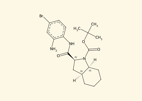 CC(C)(C)OC(=O)N1[C@H](C(=O)Nc2ccc(Br)cc2N)C[C@@H]2CCCC[C@@H]21